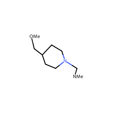 CNCN1CCC(COC)CC1